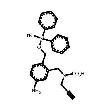 C#CCN(Cc1cc(N)ccc1CO[Si](c1ccccc1)(c1ccccc1)C(C)(C)C)C(=O)O